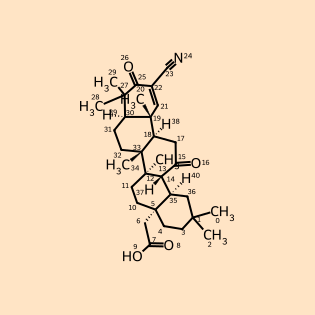 CC1(C)CC[C@@]2(CC(=O)O)CC[C@]3(C)[C@H](C(=O)C[C@@H]4[C@@]5(C)C=C(C#N)C(=O)C(C)(C)[C@@H]5CC[C@]43C)[C@H]2C1